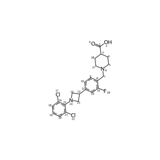 O=C(O)C1CCN(Cc2ccc(C3CN(c4c(Cl)cccc4Cl)C3)cc2F)CC1